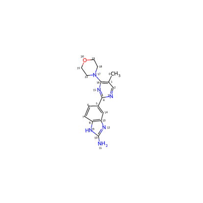 Cc1cnc(-c2ccc3[nH]c(N)nc3c2)nc1N1CCOCC1